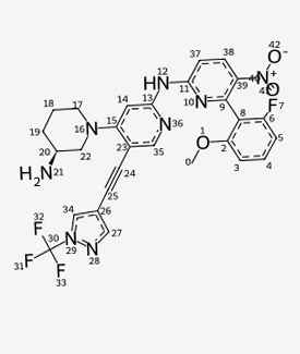 COc1cccc(F)c1-c1nc(Nc2cc(N3CCC[C@H](N)C3)c(C#Cc3cnn(C(F)(F)F)c3)cn2)ccc1[N+](=O)[O-]